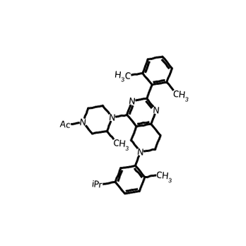 CC(=O)N1CCN(c2nc(-c3c(C)cccc3C)nc3c2CN(c2cc(C(C)C)ccc2C)CC3)C(C)C1